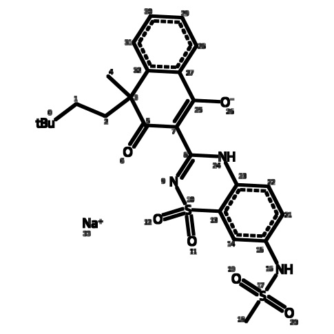 CC(C)(C)CCC1(C)C(=O)C(C2=NS(=O)(=O)c3cc(NS(C)(=O)=O)ccc3N2)=C([O-])c2ccccc21.[Na+]